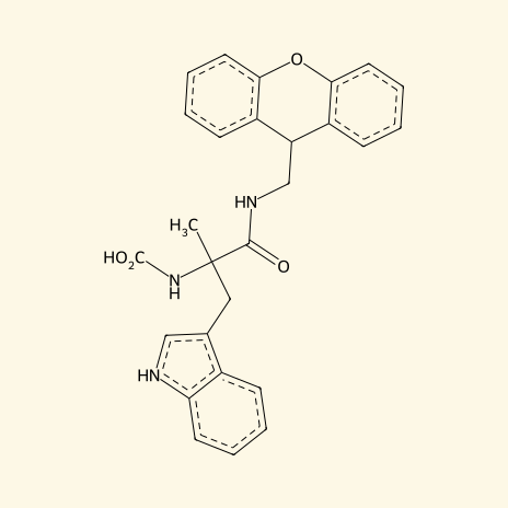 CC(Cc1c[nH]c2ccccc12)(NC(=O)O)C(=O)NCC1c2ccccc2Oc2ccccc21